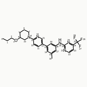 CCCOC1CCCN(c2ccc(-c3cc(C)cc(Nc4nccc(C(F)(F)F)n4)c3)cn2)C1